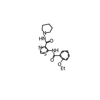 CCOc1ccccc1C(=O)Nc1scnc1C(=O)NN1CCCCC1